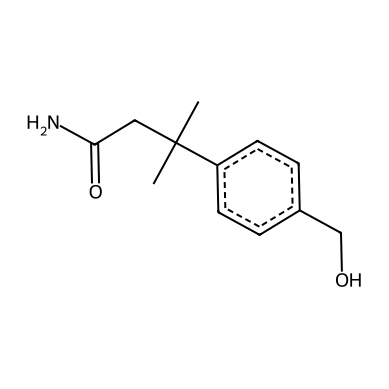 CC(C)(CC(N)=O)c1ccc(CO)cc1